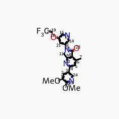 COc1cc(-c2cc(C)c3c(n2)CN(c2cncc(OCC(F)(F)F)c2)C3=O)cnc1OC